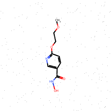 COCCOc1ccc(C(=O)NO)cn1